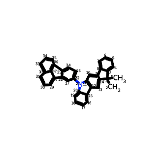 CC1(C)c2ccccc2-c2cc3c(cc21)c1ccccc1n3-c1ccc2c(c1)-c1cccc3cccc-2c13